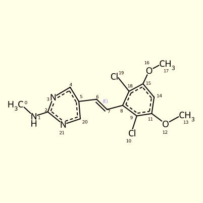 CNc1ncc(/C=C/c2c(Cl)c(OC)cc(OC)c2Cl)cn1